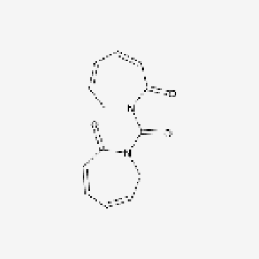 O=C1C=CC=CCN1C(=O)N1CC=CC=CC1=O